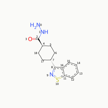 NNC(=O)[C@H]1CC[C@H](c2nsc3ccccc32)CC1